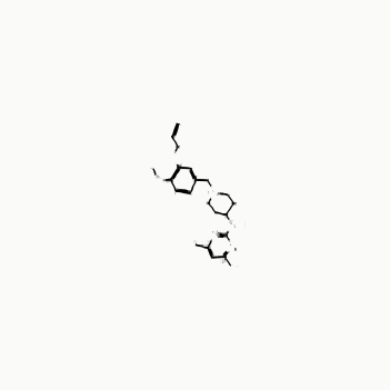 C=CCOc1cc(CN2CCC(Nc3nc(C)cc(C)n3)CC2)ccc1OC